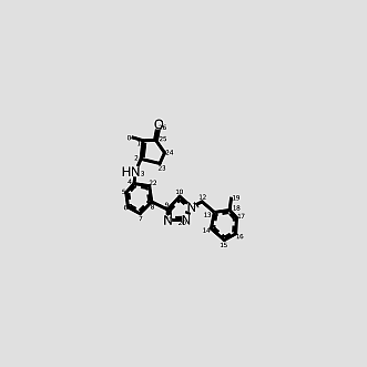 CC1=C(Nc2cccc(-c3cn(Cc4ccccc4C)nn3)c2)CCC1=O